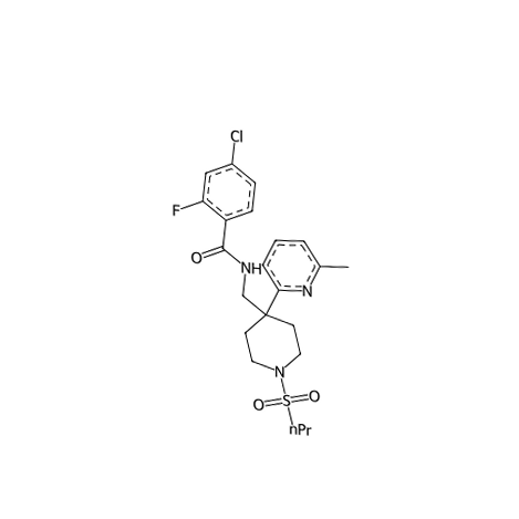 CCCS(=O)(=O)N1CCC(CNC(=O)c2ccc(Cl)cc2F)(c2cccc(C)n2)CC1